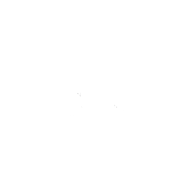 Cc1cc(N)cc(=O)n1C